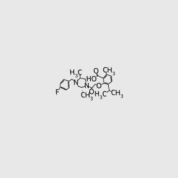 Cc1ccc(C(C)C)c(OCC(=O)N2C[C@H](C)N(Cc3ccc(F)cc3)C[C@H]2C)c1C(=O)O